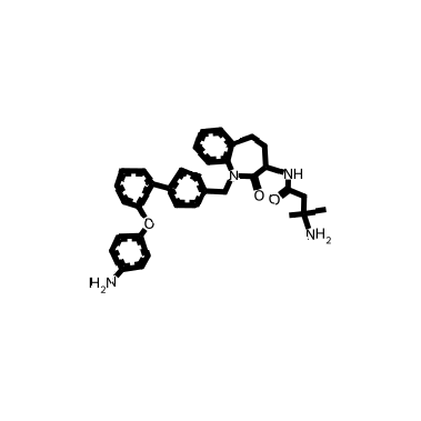 CC(C)(N)CC(=O)NC1CCc2ccccc2N(Cc2ccc(-c3ccccc3Oc3ccc(N)cc3)cc2)C1=O